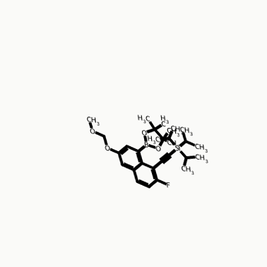 COCOc1cc(B2OC(C)(C)C(C)(C)O2)c2c(C#C[Si](C(C)C)(C(C)C)C(C)C)c(F)ccc2c1